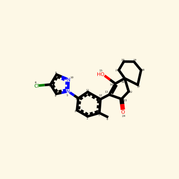 Cc1ccc(-n2cc(Cl)cn2)cc1C1=C(O)C2(CCCCC2)CC1=O